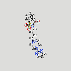 O=C1C2C3=CCC(CC3)C2S(=O)(=O)N1CCCCN1CCN(c2ncccn2)CC1